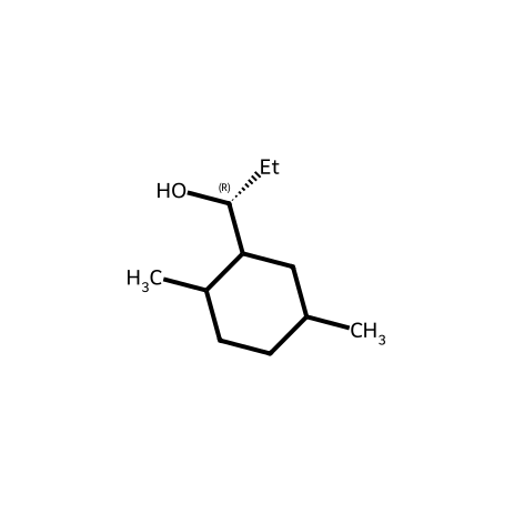 CC[C@@H](O)C1CC(C)CCC1C